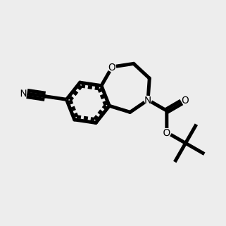 CC(C)(C)OC(=O)N1CCOc2cc(C#N)ccc2C1